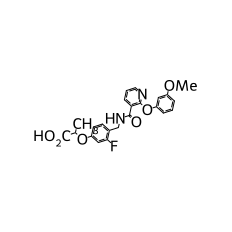 COc1cccc(Oc2ncccc2C(=O)NCc2ccc(OC(C)C(=O)O)cc2F)c1